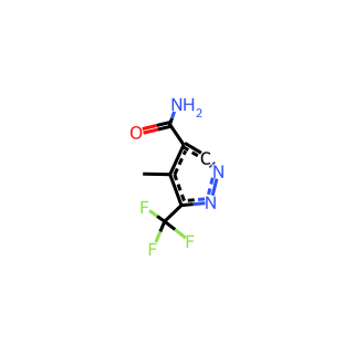 Cc1c(C(N)=O)cnnc1C(F)(F)F